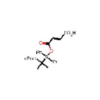 CCCCCC(C)(C)[Si](OC(=O)/C=C/C(=O)O)(C(C)C)C(C)C